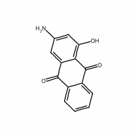 Nc1cc(O)c2c(c1)C(=O)c1ccccc1C2=O